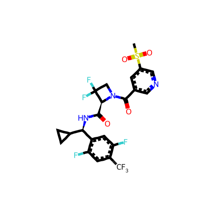 CS(=O)(=O)c1cncc(C(=O)N2CC(F)(F)[C@@H]2C(=O)N[C@@H](c2cc(F)c(C(F)(F)F)cc2F)C2CC2)c1